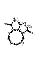 NC(=O)c1cccc[pH]cc(C(N)=O)c1C(N)=O